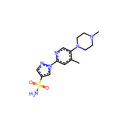 Cc1cc(-n2cc(S(N)(=O)=O)cn2)ncc1N1CCN(C)CC1